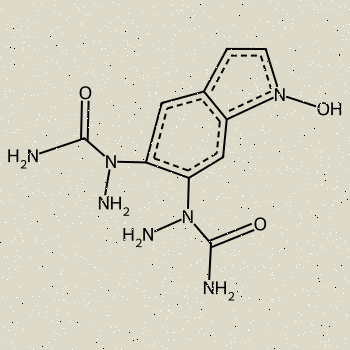 NC(=O)N(N)c1cc2ccn(O)c2cc1N(N)C(N)=O